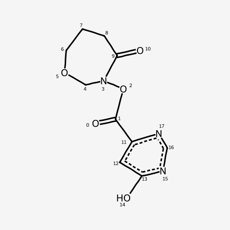 O=C(ON1COCCCC1=O)c1cc(O)ncn1